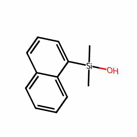 C[Si](C)(O)c1cccc2ccccc12